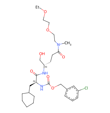 CCOCCOCCN(C)C(=O)CC[C@@H](CO)NC(=O)[C@H](CC1CCCCC1)NC(=O)OCc1cccc(Cl)c1